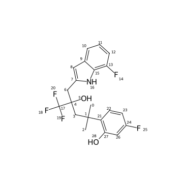 CC(C)(CC(O)(Cc1cc2cccc(F)c2[nH]1)C(F)(F)F)c1ccc(F)cc1O